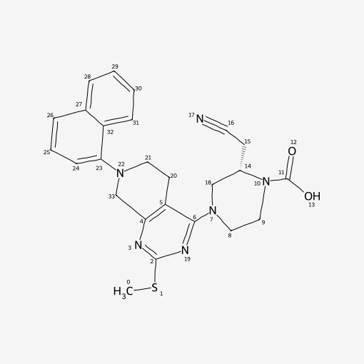 CSc1nc2c(c(N3CCN(C(=O)O)[C@@H](CC#N)C3)n1)CCN(c1cccc3ccccc13)C2